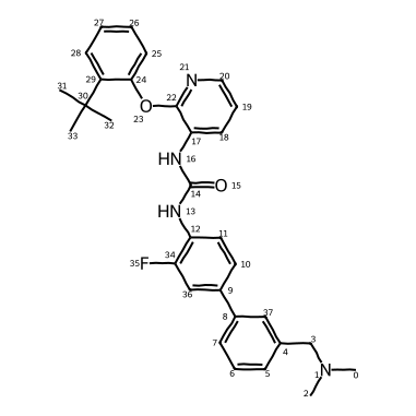 CN(C)Cc1cccc(-c2ccc(NC(=O)Nc3cccnc3Oc3ccccc3C(C)(C)C)c(F)c2)c1